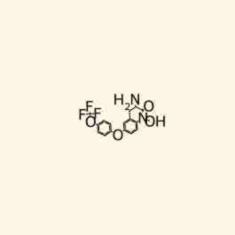 NC1Cc2cc(Oc3ccc(OC(F)(F)F)cc3)ccc2N(O)C1=O